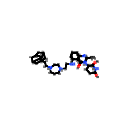 Cc1nc2cccc(NCCN3CCCN(CCC45CC6CC(CC(C6)C4)C5)CC3)c2c(=O)n1C1CCC(=O)NC1=O